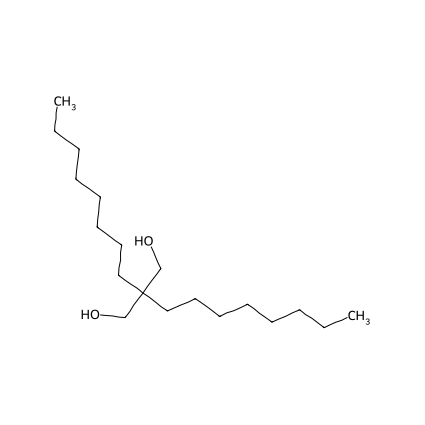 CCCCCCCCC(CO)(CO)CCCCCCCC